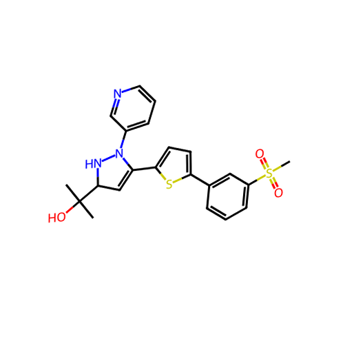 CC(C)(O)C1C=C(c2ccc(-c3cccc(S(C)(=O)=O)c3)s2)N(c2cccnc2)N1